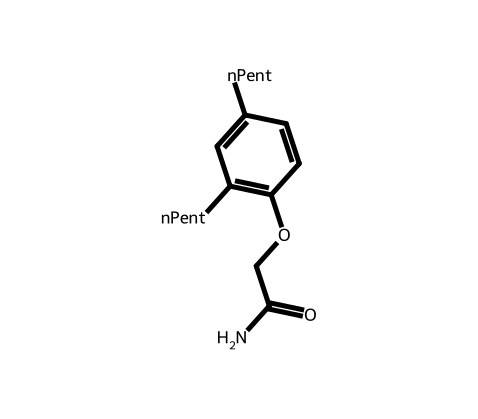 CCCCCc1ccc(OCC(N)=O)c(CCCCC)c1